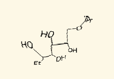 CCC(O)C(O)C(O)C(O)COC(C)C